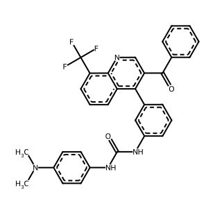 CN(C)c1ccc(NC(=O)Nc2cccc(-c3c(C(=O)c4ccccc4)cnc4c(C(F)(F)F)cccc34)c2)cc1